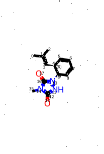 CC(C)=C[C@H]1C=CC=C[C@@H]1n1[nH]c(=O)n(C)c1=O